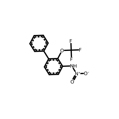 O=[N+]([O-])Nc1cccc(-c2ccccc2)c1OC(F)(F)F